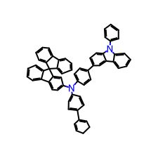 C1=CC(c2ccc(N(c3ccc(-c4ccc5c(c4)c4ccccc4n5-c4ccccc4)cc3)c3ccc4c(c3)C3(c5ccccc5-c5ccccc53)c3ccccc3-4)cc2)=CCC1